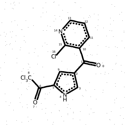 O=C(c1c[nH]c(C(=O)C(Cl)(Cl)Cl)c1)c1cccnc1Cl